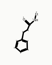 CCNC(=O)[CH]Cc1ccccc1